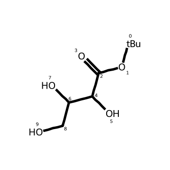 CC(C)(C)OC(=O)C(O)C(O)CO